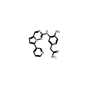 CC(C)(C)c1ccc(CC(N)=O)cc1Nc1ncc2ccc(-c3cccnc3)n2n1